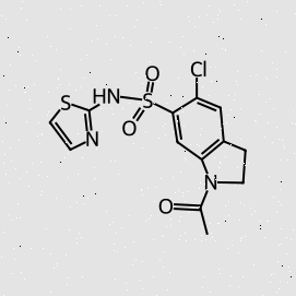 CC(=O)N1CCc2cc(Cl)c(S(=O)(=O)Nc3nccs3)cc21